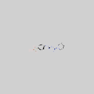 Cl.N=C(NC(=N)N1CCCCC1)Nc1ccc(S(=O)(=O)O)cc1